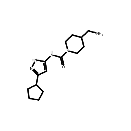 NCC1CCN(C(=O)Nc2cc(C3CCCC3)n[nH]2)CC1